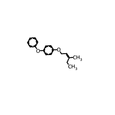 CCC(C)=CCOc1ccc(Oc2ccccc2)cc1